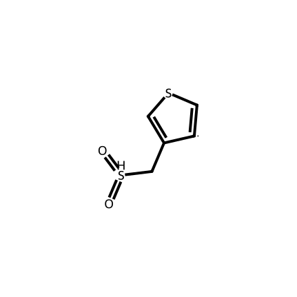 O=[SH](=O)Cc1[c]csc1